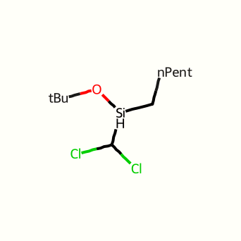 CCCCCC[SiH](OC(C)(C)C)C(Cl)Cl